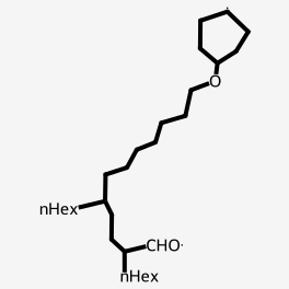 CCCCCCC([C]=O)CCC(CCCCCC)CCCCCCCOC1CC[CH]CC1